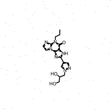 CCCn1c(=O)c2[nH]c(-c3cnn(CC(O)CO)c3)nc2n2ccnc12